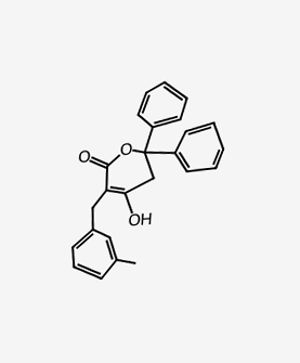 Cc1cccc(CC2=C(O)CC(c3ccccc3)(c3ccccc3)OC2=O)c1